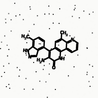 Cc1cc2c(-c3ccc(C)c4[nH]ncc34)c(N)c(=O)[nH]c2c2cccnc12